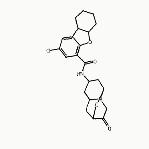 O=C(NC1CC2CC3CC(C1)N2CC3=O)c1cc(Cl)cc2c1OC1CCCCC21